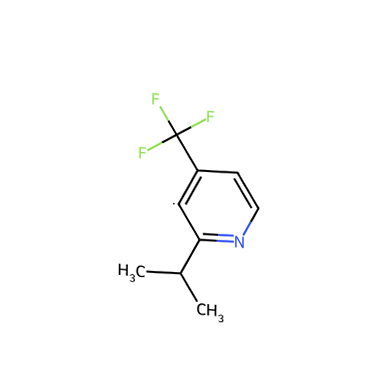 CC(C)c1[c]c(C(F)(F)F)ccn1